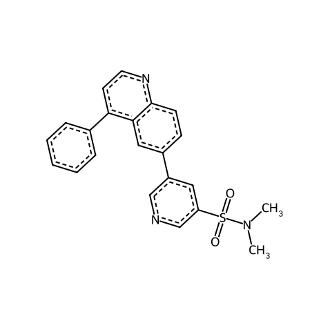 CN(C)S(=O)(=O)c1cncc(-c2ccc3nccc(-c4ccccc4)c3c2)c1